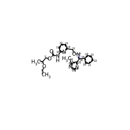 CCOC(C)COC(=O)Nc1cccc(CO/N=C(/c2ccccc2)c2nnnn2C)n1